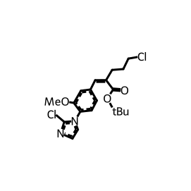 COc1cc(C=C(CCCCl)C(=O)OC(C)(C)C)ccc1-n1ccnc1Cl